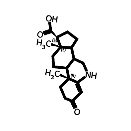 C[C@]12CCC(=O)C=C1NCC1C2CC[C@@]2(C)C1CC[C@@H]2C(=O)O